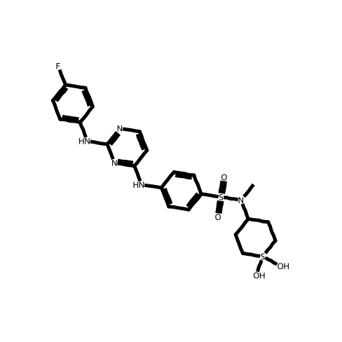 CN(C1CCS(O)(O)CC1)S(=O)(=O)c1ccc(Nc2ccnc(Nc3ccc(F)cc3)n2)cc1